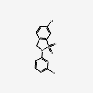 O=S1(=O)c2cc(Cl)ccc2CN1c1ccnc(Cl)n1